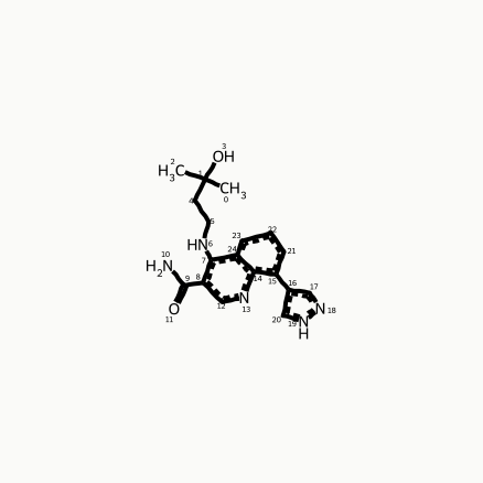 CC(C)(O)CCNc1c(C(N)=O)cnc2c(-c3cn[nH]c3)cccc12